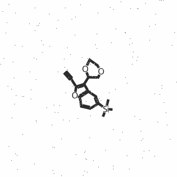 C#Cc1oc2ccc([Si](C)(C)C)cc2c1C1COCCO1